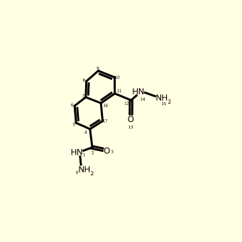 NNC(=O)c1ccc2cccc(C(=O)NN)c2c1